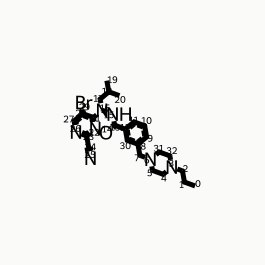 CCCN1CCN(Cc2cccc(C(=O)NN(CC(C)C)c3nc(C#N)ncc3Br)c2)CC1